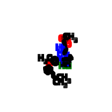 Cc1cc(Nc2ncnc3ccn(CCNC(=O)CS(C)(=O)=O)c23)ccc1Oc1cccc(C=CC(C)C)c1.Cl